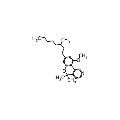 CCCCCC(C)CCc1cc(OC)c2c(c1)OC(C)(C)c1ccncc1-2